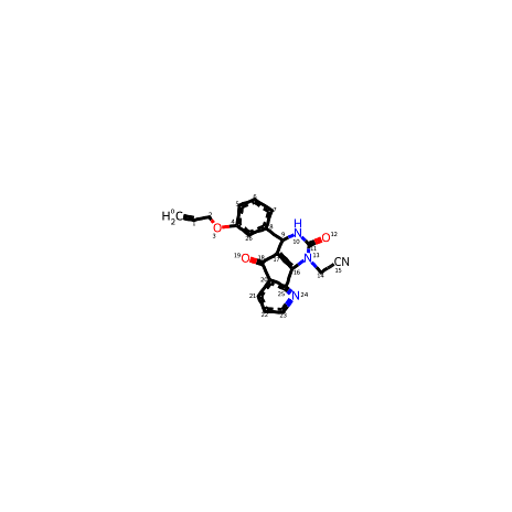 C=CCOc1cccc(C2NC(=O)N(CC#N)C3=C2C(=O)c2cccnc23)c1